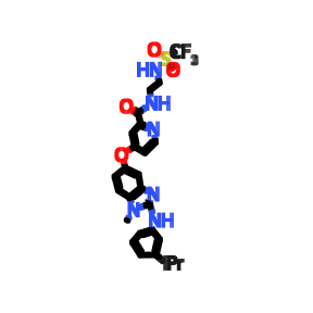 CC(C)c1cccc(Nc2nc3cc(Oc4ccnc(C(=O)NCCNS(=O)(=O)C(F)(F)F)c4)ccc3n2C)c1